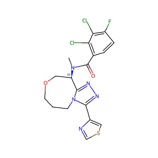 CN(C(=O)c1ccc(F)c(Cl)c1Cl)[C@@H]1COCCCn2c(-c3cscn3)nnc21